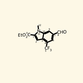 CCOC(=O)c1cc2c(C(F)(F)F)cc(C=O)cc2n1C